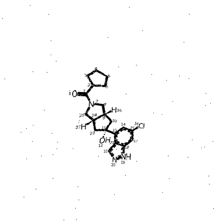 O=C(C1CCCC1)N1C[C@@H]2C[C@@](O)(c3cc(Cl)cc4[nH]ncc34)C[C@@H]2C1